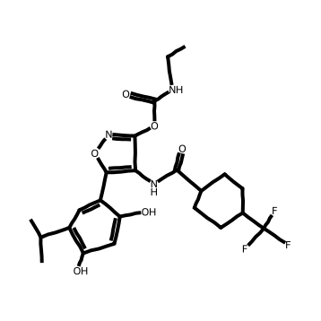 CCNC(=O)Oc1noc(-c2cc(C(C)C)c(O)cc2O)c1NC(=O)C1CCC(C(F)(F)F)CC1